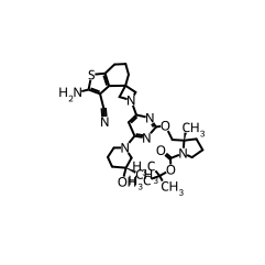 CC(C)(C)OC(=O)N1CCC[C@@]1(C)COc1nc(N2CC3(CCCc4sc(N)c(C#N)c43)C2)cc(N2CCC[C@@](C)(O)C2)n1